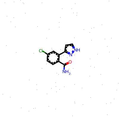 NC(=O)c1ccc(Cl)cc1-c1cc[nH]n1